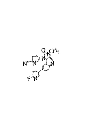 Cn1c(=O)n(-c2ccc(C#N)nc2)c2c3cc(-c4ccc(F)nc4)ccc3ncc21